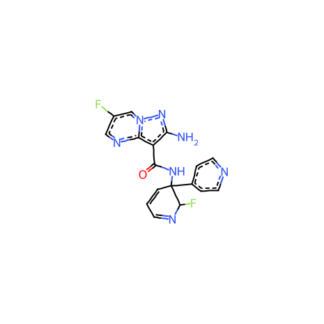 Nc1nn2cc(F)cnc2c1C(=O)NC1(c2ccncc2)C=CC=NC1F